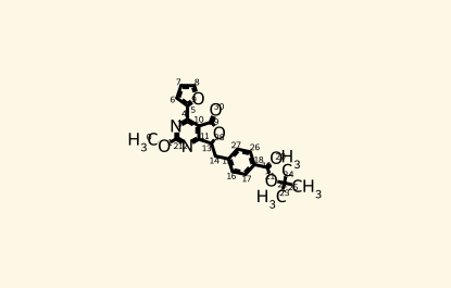 COc1nc(-c2ccco2)c2c(n1)C(Cc1ccc(C(=O)OC(C)(C)C)cc1)OC2=O